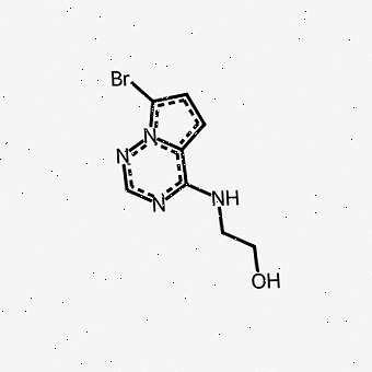 OCCNc1ncnn2c(Br)ccc12